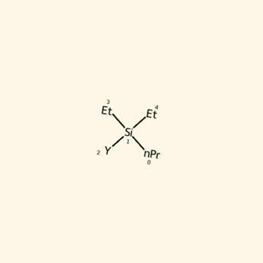 CCC[Si]([Y])(CC)CC